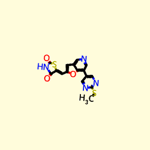 CSc1ncc(-c2cncc3cc(/C=C4\SC(=O)NC4=O)oc23)cn1